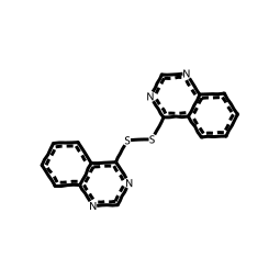 c1ccc2c(SSc3ncnc4ccccc34)ncnc2c1